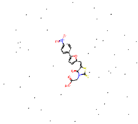 O=C(O)CN1C(=O)/C(=C\c2ccc(-c3ccc([N+](=O)[O-])cc3)o2)SC1=S